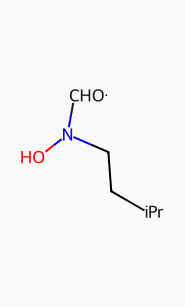 CC(C)CCN(O)[C]=O